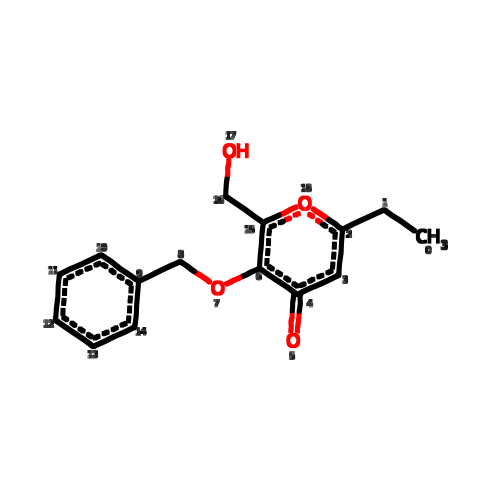 CCc1cc(=O)c(OCc2ccccc2)c(CO)o1